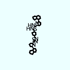 N=C(SC(=N)c1cccc(-c2cccc3ccccc23)n1)c1ccc(-c2nnc(-c3cccc(-c4cccc5ccccc45)n3)s2)cc1